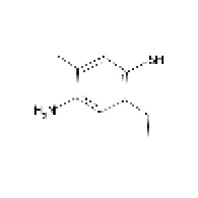 CCc1cc(N)c(C)cc1S